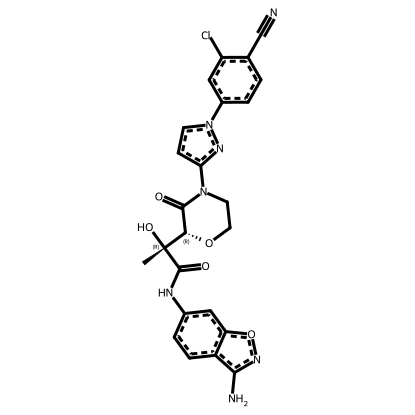 C[C@](O)(C(=O)Nc1ccc2c(N)noc2c1)[C@H]1OCCN(c2ccn(-c3ccc(C#N)c(Cl)c3)n2)C1=O